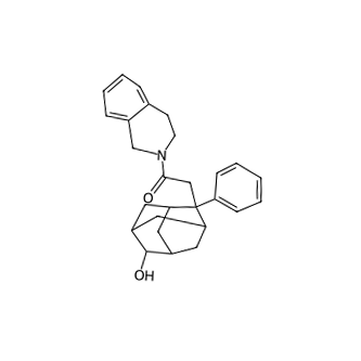 O=C(CC1(c2ccccc2)C2CC3CC1CC(C2)C3O)N1CCc2ccccc2C1